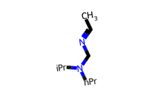 C/C=N/CN(CCC)C(C)C